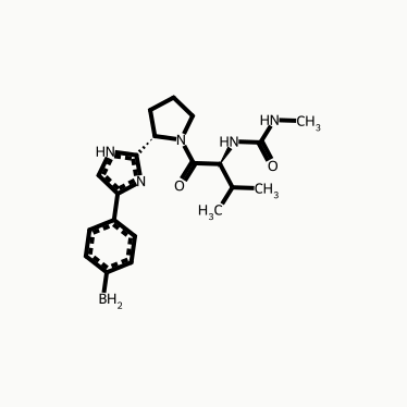 Bc1ccc(-c2c[nH]c([C@@H]3CCCN3C(=O)[C@@H](NC(=O)NC)C(C)C)n2)cc1